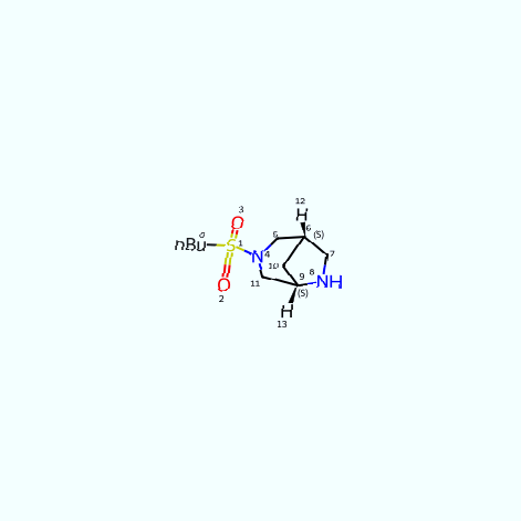 CCCCS(=O)(=O)N1C[C@@H]2CN[C@@H](C2)C1